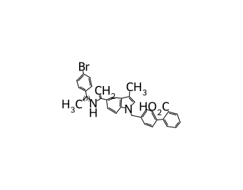 C=C(N[C@@H](C)c1ccc(Br)cc1)c1ccc2c(c1)c(C)cn2Cc1ccc(-c2ccccc2C(=O)O)cc1